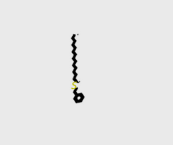 [CH2]CCCCCCCCCCCCC[CH]SCCc1ccccc1